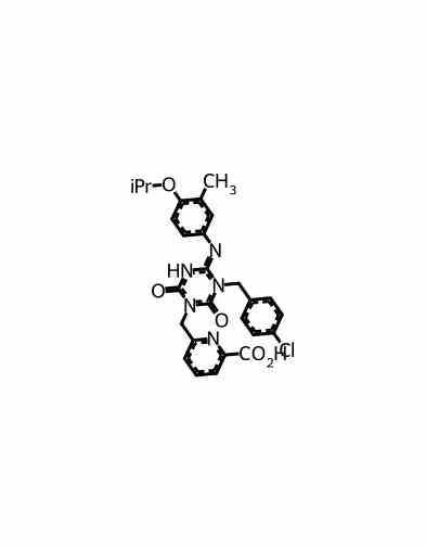 Cc1cc(/N=c2\[nH]c(=O)n(Cc3cccc(C(=O)O)n3)c(=O)n2Cc2ccc(Cl)cc2)ccc1OC(C)C